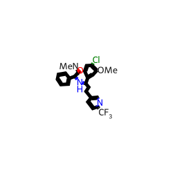 CNC(=O)C(NC(CCc1ccc(C(F)(F)F)nc1)c1ccc(Cl)c(OC)c1)c1ccccc1